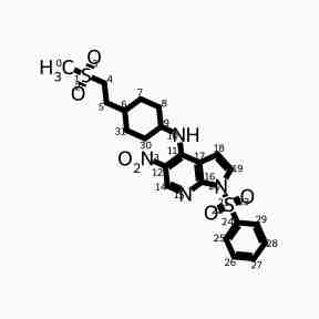 CS(=O)(=O)CCC1CCC(Nc2c([N+](=O)[O-])cnc3c2ccn3S(=O)(=O)c2ccccc2)CC1